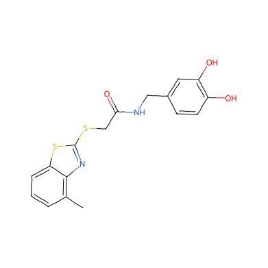 Cc1cccc2sc(SCC(=O)NCc3ccc(O)c(O)c3)nc12